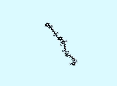 O=C(CCCCCN1C(=O)C[C@@H](Sc2ccc(CONC(=O)CCCCCCC(=O)Nc3ccccc3)cc2)C1=O)NCc1cn(CCCCCC(=O)ON2C(=O)CCC2=O)nn1